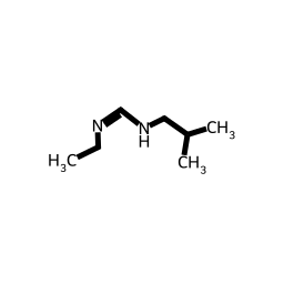 CC/N=C\NCC(C)C